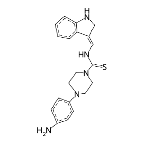 Nc1ccc(N2CCN(C(=S)N/C=C3/CNc4ccccc43)CC2)cc1